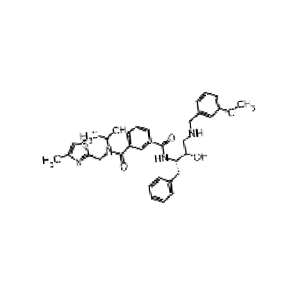 COc1cccc(CNC[C@@H](O)[C@H](Cc2ccccc2)NC(=O)c2cccc(C(=O)N(Cc3nc(C)cs3)C(C)C)c2)c1